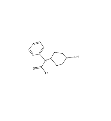 CCC(=O)N(c1ccccc1)C1CCN(O)CC1